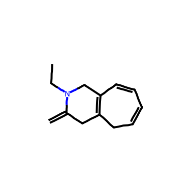 C=C1CC2=C(C=CC=CC2)CN1CC